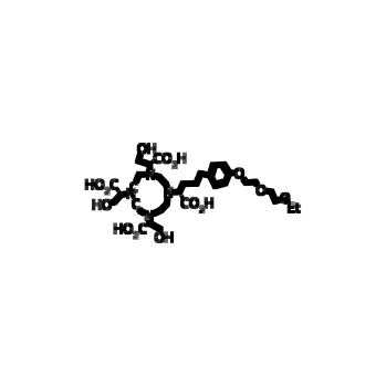 CCOCCOCCOc1ccc(CCC[C@H](C(=O)O)N2CCN([C@H](CO)C(=O)O)CCN([C@H](CO)C(=O)O)CCN([C@H](CO)C(=O)O)CC2)cc1